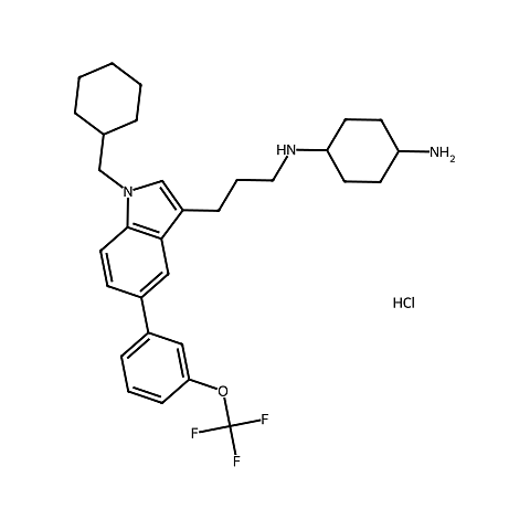 Cl.NC1CCC(NCCCc2cn(CC3CCCCC3)c3ccc(-c4cccc(OC(F)(F)F)c4)cc23)CC1